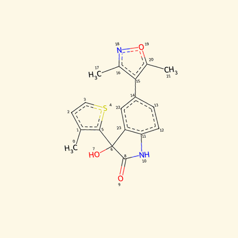 Cc1ccsc1C1(O)C(=O)Nc2ccc(-c3c(C)noc3C)cc21